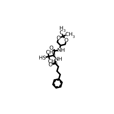 CC1(C)OCC(NC(=O)C(NC(=O)CCCc2ccccc2)C(C)(C)S)CO1